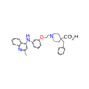 Cc1cc(Nc2cccc(OCCN3CCC(Cc4ccccc4)(C(=O)O)CC3)c2)c2ccccc2n1